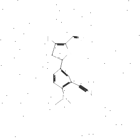 CN(C)c1ccc(C2CC(F)=C(C=O)S2)cc1C#N